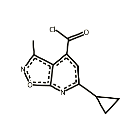 Cc1noc2nc(C3CC3)cc(C(=O)Cl)c12